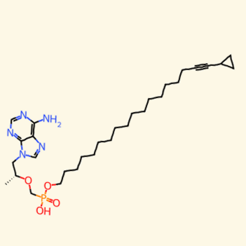 C[C@H](Cn1cnc2c(N)ncnc21)OCP(=O)(O)OCCCCCCCCCCCCCCCCC#CC1CC1